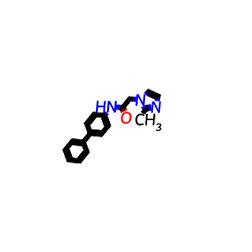 Cc1nccn1CC(=O)Nc1ccc(-c2ccccc2)cc1